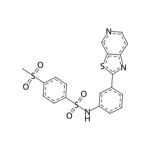 CS(=O)(=O)c1ccc(S(=O)(=O)Nc2cccc(-c3nc4ccncc4s3)c2)cc1